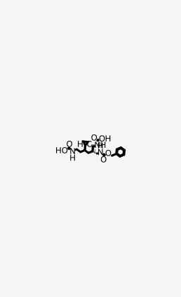 C[C@@H](NC(=O)O)[C@H](CNC(=O)OCc1ccccc1)CC(CCNC(=O)O)C1CC1